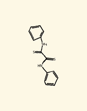 S=C(Nc1ccccc1)C(=S)Nc1ccccc1